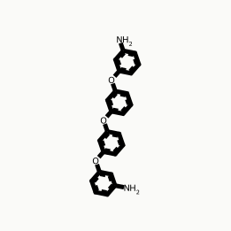 Nc1cccc(Oc2cccc(Oc3cccc(Oc4cccc(N)c4)c3)c2)c1